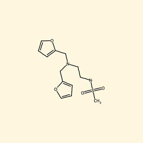 CS(=O)(=O)[N]CCN(Cc1ccco1)Cc1ccco1